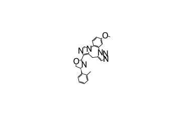 COc1ccc2c(c1)-n1nncc1Cc1c(C3=N[C@@H](c4ccccc4C)CO3)ncn1-2